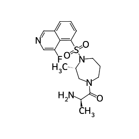 C[C@@H](N)C(=O)N1CCCN(S(=O)(=O)c2cccc3cncc(F)c23)[C@@H](C)C1